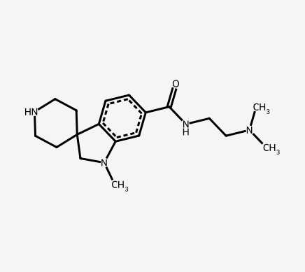 CN(C)CCNC(=O)c1ccc2c(c1)N(C)CC21CCNCC1